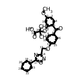 COc1ccc(C(=O)c2ccc(OCc3noc(-c4ccccc4)n3)cc2)c(OC(C)(C)C(=O)O)c1